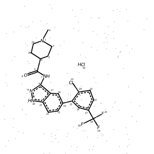 CN1CCC(C(=O)Nc2n[nH]c3ccc(-c4cc(C(F)(F)F)ccc4Cl)cc23)CC1.Cl